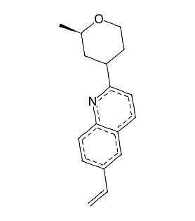 C=Cc1ccc2nc(C3CCO[C@H](C)C3)ccc2c1